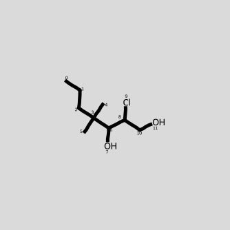 CCCC(C)(C)C(O)C(Cl)CO